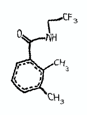 Cc1cccc(C(=O)NCC(F)(F)F)c1C